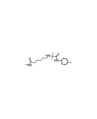 CNC(=O)CCCCCNC(C)(C)C(=S)Nc1ccc(C)cc1